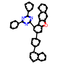 c1ccc(-c2nc(-c3ccccc3)nc(-c3cc(-c4ccc(-c5cccc6ccccc56)cc4)cc4oc5cc6ccccc6cc5c34)n2)cc1